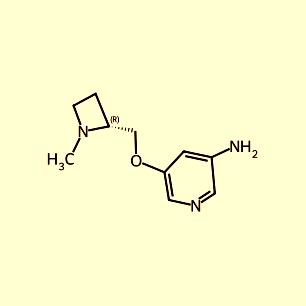 CN1CC[C@@H]1COc1cncc(N)c1